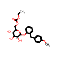 CCOC(=O)OCC1O[C@@H](Oc2ccccc2Cc2ccc(OC)cc2)[C@@H](O)C(O)[C@@H]1O